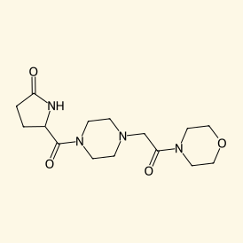 O=C1CCC(C(=O)N2CCN(CC(=O)N3CCOCC3)CC2)N1